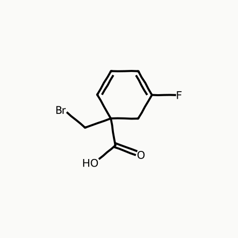 O=C(O)C1(CBr)C=CC=C(F)C1